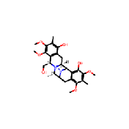 COc1c(C)c(OC)c2c(c1O)C1[C@@H]3Cc4c(O)c(C)c(OC)c(OC)c4[C@H](CO)N3[C@@H](C)C(C2)N1C